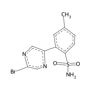 Cc1ccc(S(N)(=O)=O)c(-c2cnc(Br)cn2)c1